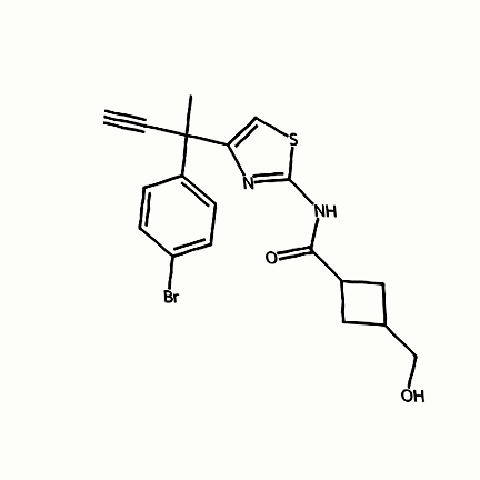 C#CC(C)(c1ccc(Br)cc1)c1csc(NC(=O)C2CC(CO)C2)n1